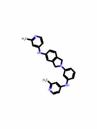 Cc1cc(Nc2cccc(N3Cc4ccc(Nc5ccnc(C)c5)cc4C3)c2)ccn1